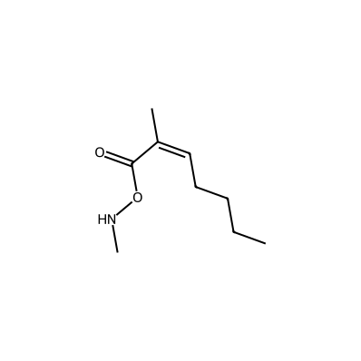 CCCCC=C(C)C(=O)ONC